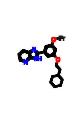 CC(C)Oc1cc(OCCC2CCCCC2)cc(-c2nc3cccnc3[nH]2)c1